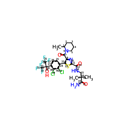 CC1CCCCN1C(=O)c1nc(C(=O)NCC(C)(C)C(N)=O)sc1-c1ccc(C(O)(C(F)(F)F)C(F)(F)F)c(Cl)c1Cl